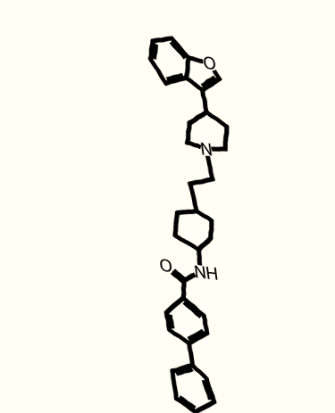 O=C(NC1CCC(CCN2CCC(c3coc4ccccc34)CC2)CC1)c1ccc(-c2ccccc2)cc1